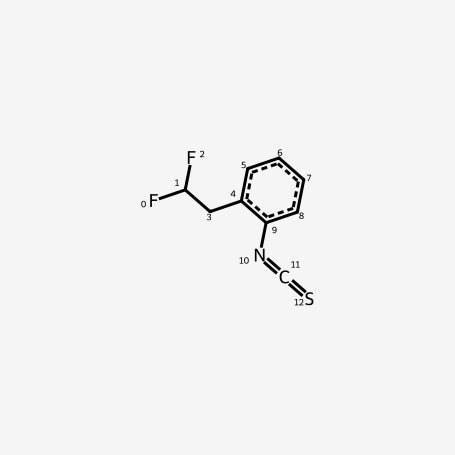 FC(F)Cc1ccccc1N=C=S